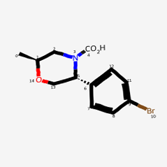 C[C@H]1CN(C(=O)O)[C@H](c2ccc(Br)cc2)CO1